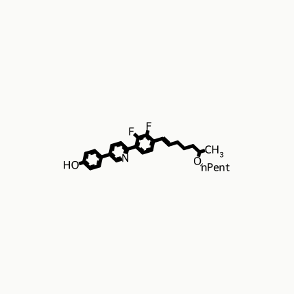 CCCCCOC(C)CCC/C=C/c1ccc(-c2ccc(-c3ccc(O)cc3)cn2)c(F)c1F